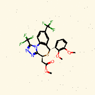 COC(=O)C[C@@H]1S[C@@H](c2cccc(OC)c2OC)c2cc(C(F)(F)F)ccc2-n2c1nnc2C(F)(F)F